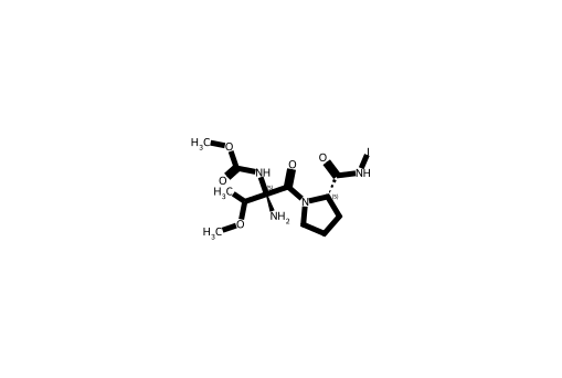 COC(=O)N[C@](N)(C(=O)N1CCC[C@H]1C(=O)NI)C(C)OC